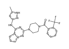 Cc1cc(Nc2nc(N3CCN(C(=O)c4ccccc4C(F)(F)F)CC3)nn3cccc23)n[nH]1